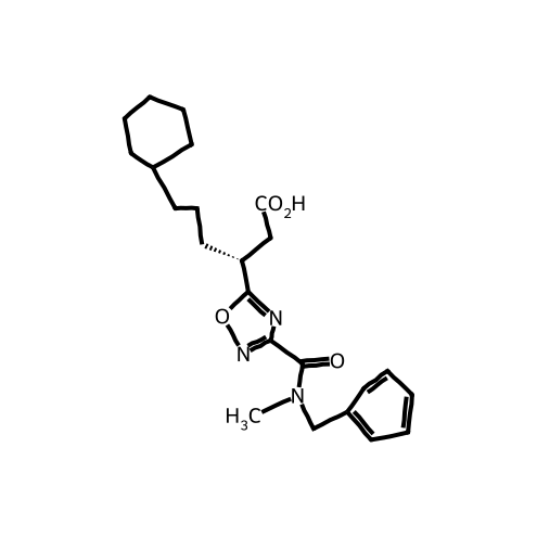 CN(Cc1ccccc1)C(=O)c1noc([C@H](CCCC2CCCCC2)CC(=O)O)n1